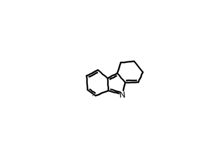 [c]1cccc2c1=NC1=CCCCC=21